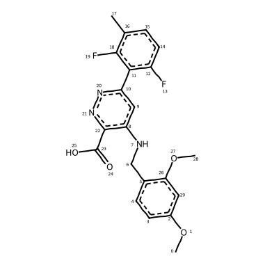 COc1ccc(CNc2cc(-c3c(F)ccc(C)c3F)nnc2C(=O)O)c(OC)c1